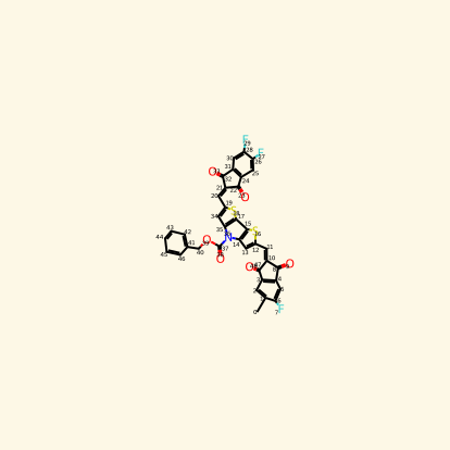 Cc1cc2c(cc1F)C(=O)/C(=C/c1cc3c(s1)c1sc(C=C4C(=O)c5cc(F)c(F)cc5C4=O)cc1n3C(=O)OCc1ccccc1)C2=O